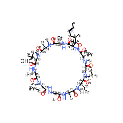 C/C=C/C[C@@H](C)[C@H]1ON2C(=O)[C@H](C(C)C)N(C)C(=O)[C@H](CC(C)C)N(C)C(=O)[C@H](CC(C)C)N(C)C(=O)[C@@H](C)NC(=O)[C@H](C)NC(=O)[C@H](CC(C)C)N(C)C(=O)[C@H](C(C)C)NC(=O)[C@H](C(C)(C)C=O)N(C)C(=O)[C@@H](C)N(C)C(=O)[C@H](CC)NC(=O)[C@H]12